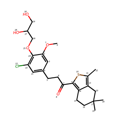 COc1cc(CCC(=O)c2sc(C)c3c2CCC(C)(C)C3)cc(Cl)c1OCC(O)CO